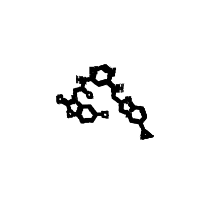 O=C(Cn1c(=O)oc2ccc(Cl)cc21)Nc1cc(NCc2cn3cc(C4CC4)ccc3n2)ncn1